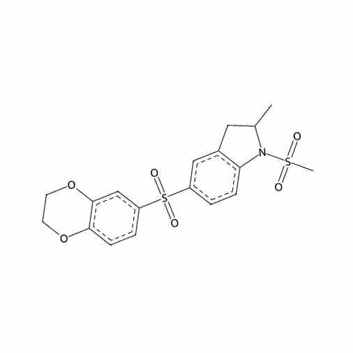 CC1Cc2cc(S(=O)(=O)c3ccc4c(c3)OCCO4)ccc2N1S(C)(=O)=O